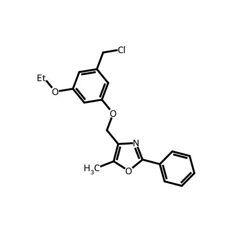 CCOc1cc(CCl)cc(OCc2nc(-c3ccccc3)oc2C)c1